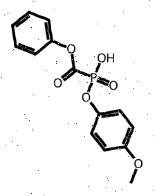 COc1ccc(OP(=O)(O)C(=O)Oc2ccccc2)cc1